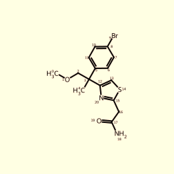 COCC(C)(c1ccc(Br)cc1)c1csc(CC(N)=O)n1